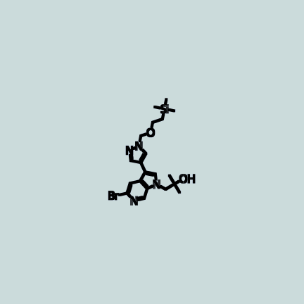 CC(C)(O)Cn1cc(-c2cnn(COCC[Si](C)(C)C)c2)c2cc(Br)ncc21